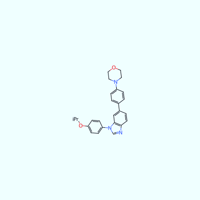 CC(C)Oc1ccc(-n2cnc3ccc(-c4ccc(N5CCOCC5)cc4)cc32)cc1